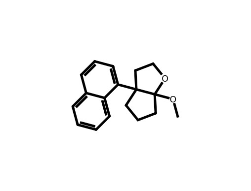 COC12CCCC1(c1cccc3ccccc13)CCO2